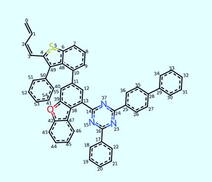 C=C/C=C\c1sc2cccc(-c3cc(-c4nc(-c5ccccc5)nc(-c5ccc(-c6ccccc6)cc5)n4)c4c(c3)oc3ccccc34)c2c1-c1ccccc1